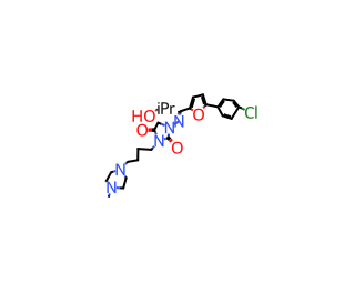 CC(C)O.CN1CCN(CCCCN2C(=O)CN(/N=C/c3ccc(-c4ccc(Cl)cc4)o3)C2=O)CC1